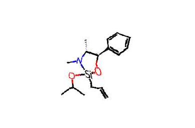 C=CC[Si]1(OC(C)C)O[C@H](c2ccccc2)[C@@H](C)N1C